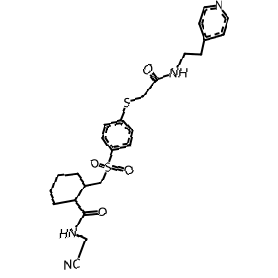 N#CCNC(=O)C1CCCCC1CS(=O)(=O)c1ccc(SCC(=O)NCCc2ccncc2)cc1